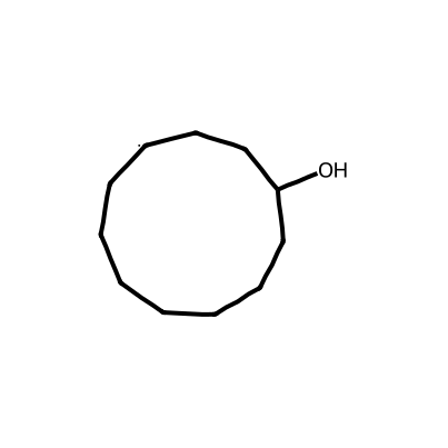 OC1CC[CH]CCCCCCC1